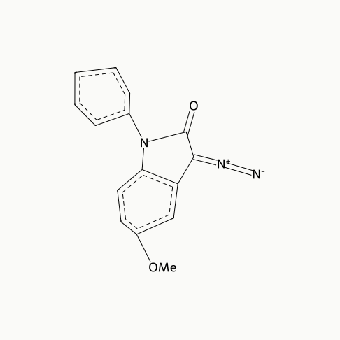 COc1ccc2c(c1)C(=[N+]=[N-])C(=O)N2c1ccccc1